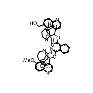 CC[C@H]1CCN2CCC1C[C@@H]2[C@H](Oc1nnc(O[C@@H](c2ccnc3ccc(OC)cc23)[C@H]2CC3CCN2CCC3(O)CC)c2ccccc12)c1ccnc2ccc(CO)cc12